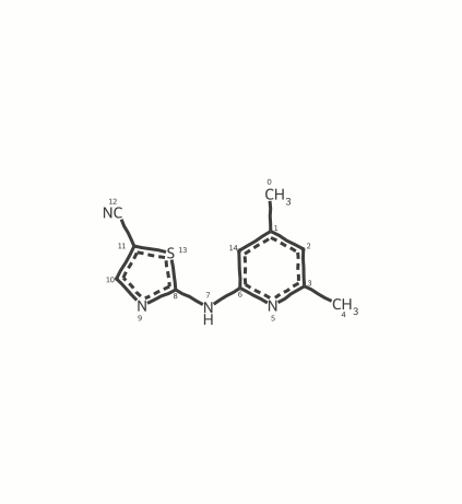 Cc1cc(C)nc(Nc2ncc(C#N)s2)c1